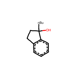 CCCCC1(O)CCc2ccccc21